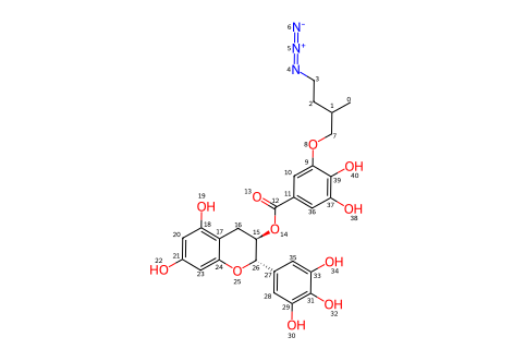 CC(CCN=[N+]=[N-])COc1cc(C(=O)O[C@@H]2Cc3c(O)cc(O)cc3O[C@H]2c2cc(O)c(O)c(O)c2)cc(O)c1O